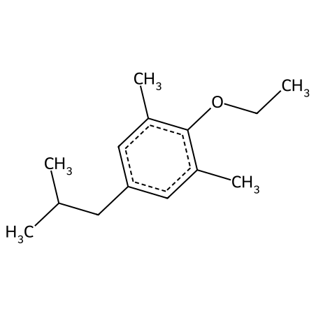 CCOc1c(C)cc(CC(C)C)cc1C